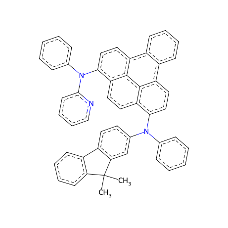 CC1(C)c2ccccc2-c2ccc(N(c3ccccc3)c3ccc4c5ccccc5c5ccc(N(c6ccccc6)c6ccccn6)c6ccc3c4c65)cc21